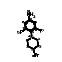 CC(C)C1CCN(c2c(F)cc(N)cc2F)CC1